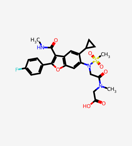 CNC(=O)c1c(-c2ccc(F)cc2)oc2cc(N(CC(=O)N(C)CC(=O)O)S(C)(=O)=O)c(C3CC3)cc12